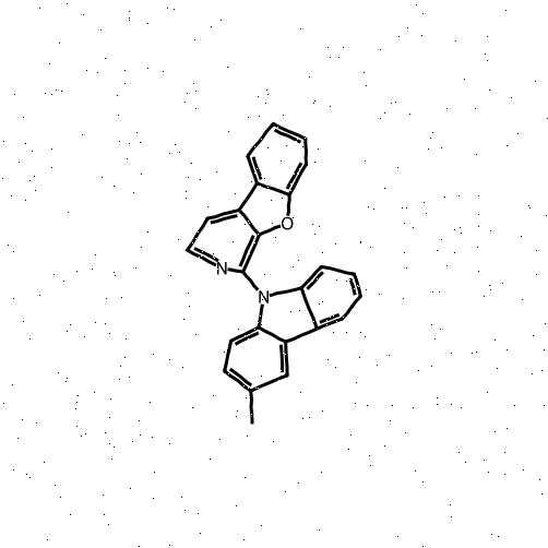 Cc1ccc2c(c1)c1ccccc1n2-c1nccc2c1oc1ccccc12